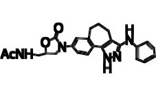 CC(=O)NCC1CN(c2ccc3c(c2)CCCc2c(Nc4ccccc4)n[nH]c2-3)C(=O)O1